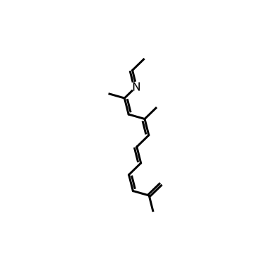 C=C(C)\C=C/C=C/C=C(C)\C=C(C)/N=C/C